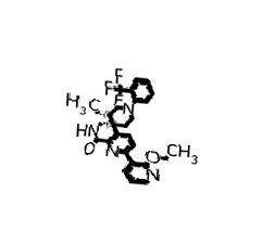 CCOc1ncccc1-c1ccc2c(n1)C(=O)NC[C@]21CCN(c2ccccc2C(F)(F)F)C[C@H]1CC